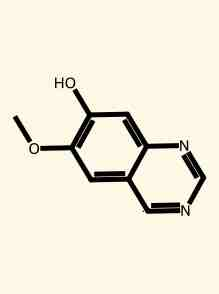 COc1cc2[c]ncnc2cc1O